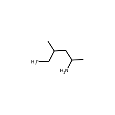 CC(N)CC(C)CP